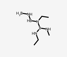 BNBN(CC)B(NC)NCC